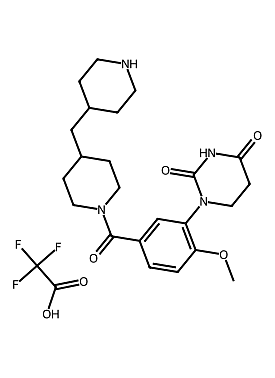 COc1ccc(C(=O)N2CCC(CC3CCNCC3)CC2)cc1N1CCC(=O)NC1=O.O=C(O)C(F)(F)F